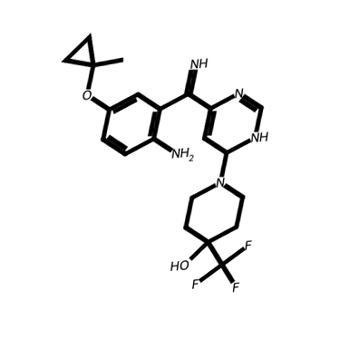 CC1(Oc2ccc(N)c(C(=N)C3=CC(N4CCC(O)(C(F)(F)F)CC4)NC=N3)c2)CC1